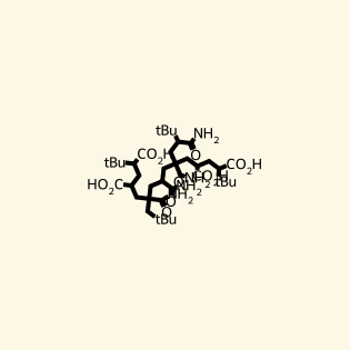 CC(C)(C)CC(CC(CC(CC(CC(C(=O)O)C(C)(C)C)C(=O)O)(CC(C(N)=O)C(C)(C)C)C(N)=O)C(N)=O)(CC(CC(C(=O)O)C(C)(C)C)C(=O)O)C(N)=O